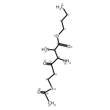 CCCCOC(=O)C(N)C(N)C(=O)CCSC(C)=O